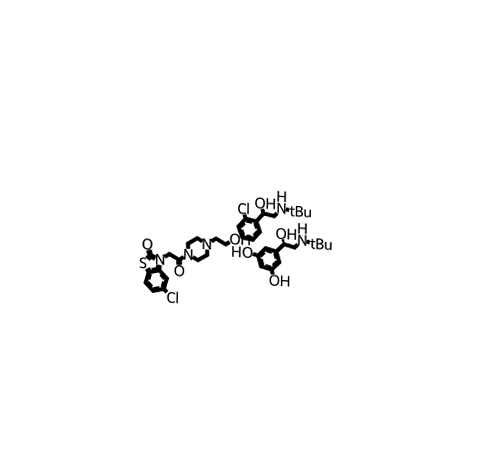 CC(C)(C)NCC(O)c1ccccc1Cl.CC(C)(C)NC[C@H](O)c1cc(O)cc(O)c1.O=C(Cn1c(=O)sc2ccc(Cl)cc21)N1CCN(CCO)CC1